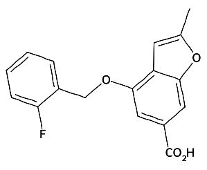 Cc1cc2c(OCc3ccccc3F)cc(C(=O)O)cc2o1